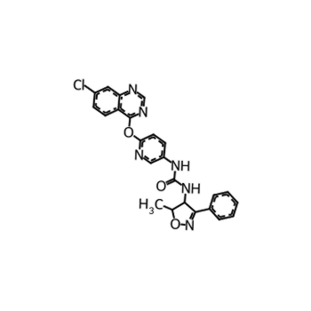 CC1ON=C(c2ccccc2)C1NC(=O)Nc1ccc(Oc2ncnc3cc(Cl)ccc23)nc1